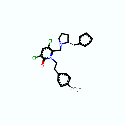 O=C(O)c1ccc(CCn2c(CN3CCC[C@@H]3Cc3ccccc3)c(Cl)cc(Cl)c2=O)cc1